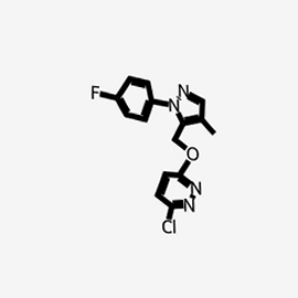 Cc1cnn(-c2ccc(F)cc2)c1COc1ccc(Cl)nn1